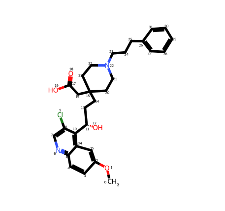 COc1ccc2ncc(Cl)c([C@@H](O)CCC3(CC(=O)O)CCN(CCCc4ccccc4)CC3)c2c1